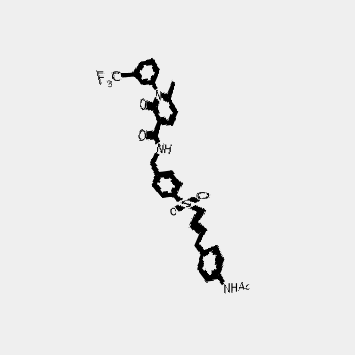 CC(=O)Nc1ccc(CC=CCS(=O)(=O)c2ccc(CNC(=O)c3ccc(C)n(-c4cccc(C(F)(F)F)c4)c3=O)cc2)cc1